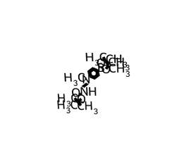 CN(CCNC(=O)OC(C)(C)C)c1ccc(B2OC(C)(C)C(C)(C)O2)cc1